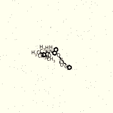 COc1ccc(C(C)(C)C)cc1NC(=O)Nc1ccc(OCCN2CCOC(COc3ccccc3)C2)c2ccccc12